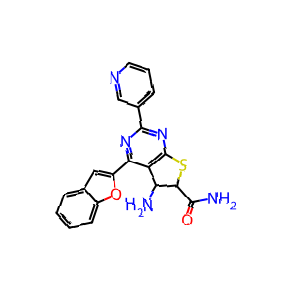 NC(=O)C1Sc2nc(-c3cccnc3)nc(-c3cc4ccccc4o3)c2C1N